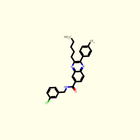 O=C(O)CCCCc1nc2cc(C(=O)NCc3cccc(Cl)c3)ccc2nc1-c1ccc(C(F)(F)F)cc1